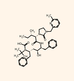 CC[C@H](C)[C@@H](C(=O)N[C@@H](Cc1ccccc1)[C@@H](O)C[C@H](Cc1ccccc1)N(C(=O)O)C(C)(C)C)N1CCN(Cc2cccc(C)n2)C1=O